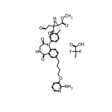 COC(=O)[C@]1(Cc2ccc(N3C(=O)CNC(=O)c4cc(CCCCOc5cccnc5N)ccc43)cc2)NC1(C=O)CC=O.O=C(O)C(F)(F)F